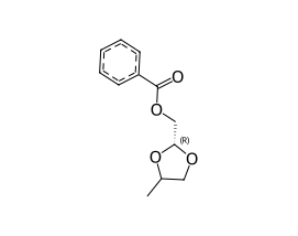 CC1CO[C@@H](COC(=O)c2ccccc2)O1